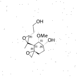 CO[C@@H]1[C@H](O)CC[C@]2(CO2)[C@H]1C1(C)O[C@@H]1CCO